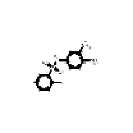 Cc1ccccc1S(=O)(=O)Oc1ccc(N)c(N)c1